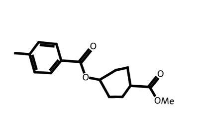 COC(=O)C1CCC(OC(=O)c2ccc(C)cc2)CC1